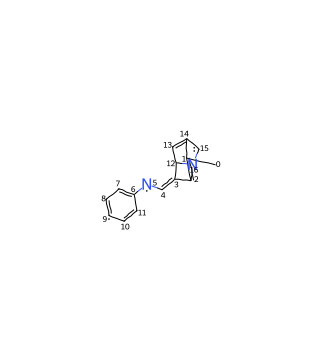 CC1=C2C(=C[N]c3cc[c]cc3)C3C=C1[C]N23